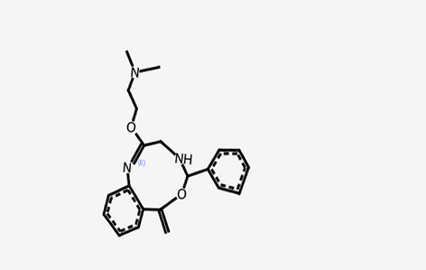 C=C1OC(c2ccccc2)NC/C(OCCN(C)C)=N\c2ccccc21